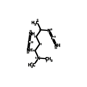 CC(CCCN(C)C)N=C=N.N=C=N